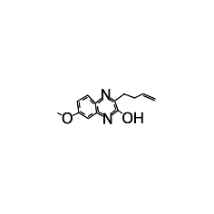 C=CCCc1nc2ccc(OC)cc2nc1O